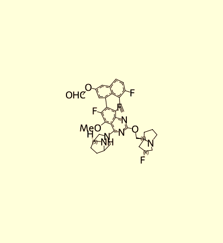 C#Cc1c(F)ccc2cc(OC=O)cc(-c3c(F)c(OC)c4c(N5CC6CC[C@@H](C5)N6)nc(OC[C@@]56CCCN5C[C@H](F)C6)nc4c3F)c12